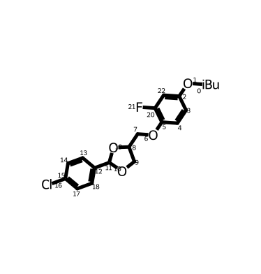 CCC(C)Oc1ccc(OCC2COC(c3ccc(Cl)cc3)O2)c(F)c1